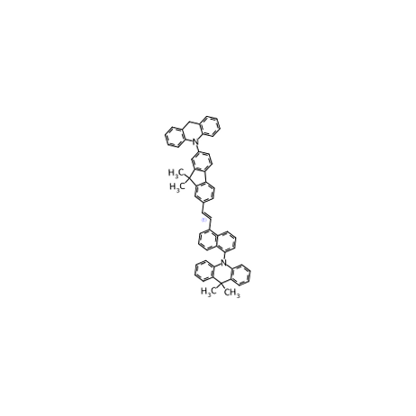 CC1(C)c2cc(/C=C/c3cccc4c(N5c6ccccc6C(C)(C)c6ccccc65)cccc34)ccc2-c2ccc(N3c4ccccc4Cc4ccccc43)cc21